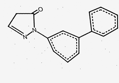 O=C1CC=NN1c1cccc(-c2ccccc2)c1